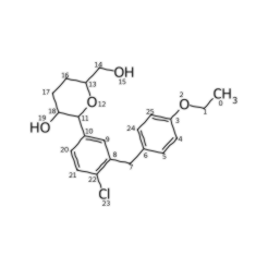 CCOc1ccc(Cc2cc(C3OC(CO)CCC3O)ccc2Cl)cc1